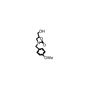 COc1ccc(CN2CC(CO)OC2=O)cc1